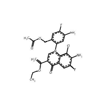 C=C(OCC)c1cn(-c2cc(N)c(F)cc2COC(C)=O)c2c(Cl)c(N)c(F)cc2c1=O